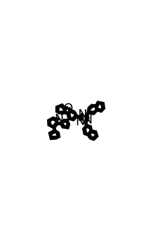 c1ccc(-c2cccc3c2c2ccccc2n3-c2cccc3oc4cc(-c5nc(-c6ccc7ccccc7c6)nc(-c6ccc7ccccc7c6)n5)ccc4c23)cc1